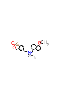 COc1cccc2c1CCCC2CN(C)CCc1ccc2c(c1)COC(=O)S2